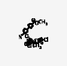 CCOC(=O)c1ccc(-c2ccc(C#N)c(OC[C@H](CNC(C)(C)Cc3ccc(Cl)s3)OP(=O)(O)O)c2)cc1